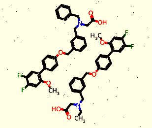 CCN(CC(=O)O)Cc1cccc(COc2ccc(-c3cc(F)c(F)cc3OC)cc2)c1.COc1cc(F)c(F)cc1-c1ccc(OCc2cccc(CN(CC(=O)O)Cc3ccccc3)c2)cc1